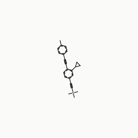 Cc1ccc(C#Cc2ccc(C#CS(C)(C)C)cc2C2CC2)cc1